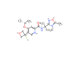 CCOC(=O)C(C)(NC(=O)c1cc(O[C@@H](C)C(F)(F)F)c(C2(F)COC2)cn1)c1noc(C)n1